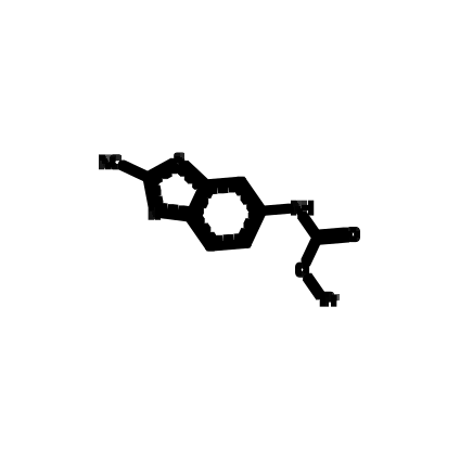 CC(C)OC(=O)Nc1ccc2nc(C#N)sc2c1